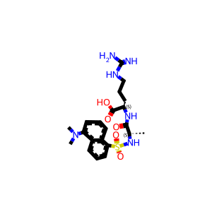 C[C@H](NS(=O)(=O)c1cccc2c(N(C)C)cccc12)C(=O)N[C@@H](CCCNC(=N)N)C(=O)O